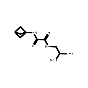 COC(CNC(=O)C(=O)NC12CC(C1)C2)OC